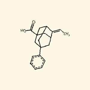 CC=C1C2CC3(C(=O)O)CC1CC(c1ccccc1)(C2)C3